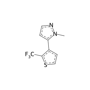 Cn1nccc1-c1ccsc1C(F)(F)F